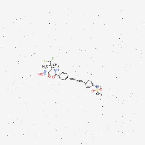 CC(C)(C(F)F)[C@H](NC(=O)c1ccc(C#CC#Cc2ccc(NS(C)(=O)=O)cc2)cc1)C(=O)NO